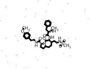 CNC(Cc1ccccc1)C(=O)NC1C(=O)N2C(CCC1CCNS(C)(=O)=O)CC[C@H]2C(=O)NCCc1ccc(OC)cc1